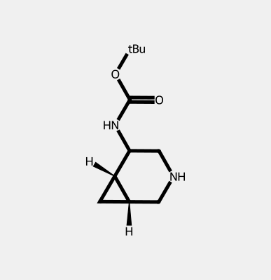 CC(C)(C)OC(=O)NC1CNC[C@@H]2C[C@H]12